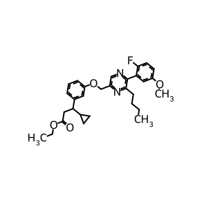 CCCCc1nc(COc2cccc(C(CC(=O)OCC)C3CC3)c2)cnc1-c1cc(OC)ccc1F